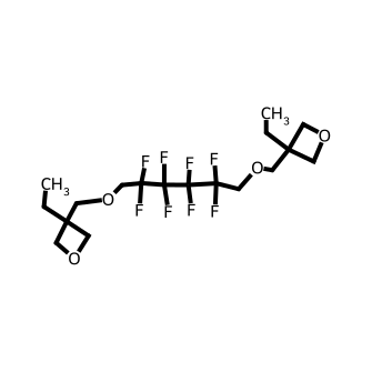 CCC1(COCC(F)(F)C(F)(F)C(F)(F)C(F)(F)COCC2(CC)COC2)COC1